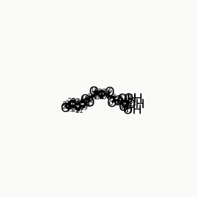 O=C(CCC(=O)N1CCN(C(=O)CCC(=O)Oc2ccc3ccc4c5cocc5ccc4c3c2)CC1)OC[C@H]1OC(O)[C@H](O)[C@@H](O)[C@@H]1O